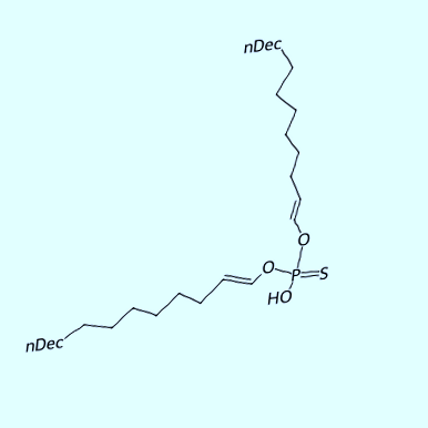 CCCCCCCCCCCCCCCCC=COP(O)(=S)OC=CCCCCCCCCCCCCCCCC